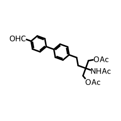 CC(=O)NC(CCc1ccc(-c2ccc(C=O)cc2)cc1)(COC(C)=O)COC(C)=O